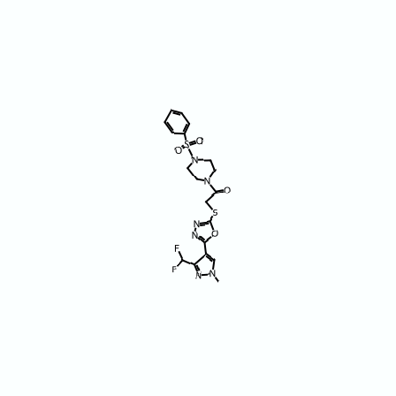 Cn1cc(-c2nnc(SCC(=O)N3CCN(S(=O)(=O)c4ccccc4)CC3)o2)c(C(F)F)n1